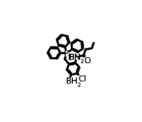 Bc1cc(CP(B)(c2ccccc2)(c2ccccc2)c2ccccc2)c(NC(=O)CCC)cc1Cl